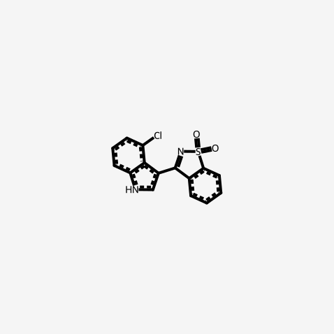 O=S1(=O)N=C(c2c[nH]c3cccc(Cl)c23)c2ccccc21